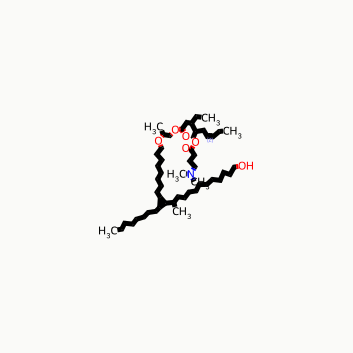 CC/C=C\CC(COC(=O)CCCN(C)C)C(CC)CC(=O)OCC(C)OCCCCCCCCC1C(CCCCCCCC)C1C(C)CCCCCCCCCCCO